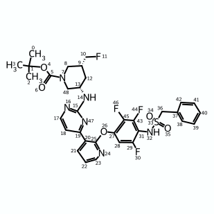 CC(C)(C)OC(=O)N1C[C@H](CF)C[C@H](Nc2nccc(-c3cccnc3Oc3cc(F)c(NS(=O)(=O)Cc4ccccc4)c(F)c3F)n2)C1